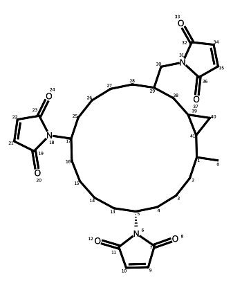 CC1CCC[C@H](N2C(=O)C=CC2=O)CCCCC(N2C(=O)C=CC2=O)CCCCC(CN2C(=O)C=CC2=O)CC2CC12